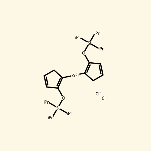 CC(C)[Si](OC1=[C]([Zr+2][C]2=C(O[Si](C(C)C)(C(C)C)C(C)C)C=CC2)CC=C1)(C(C)C)C(C)C.[Cl-].[Cl-]